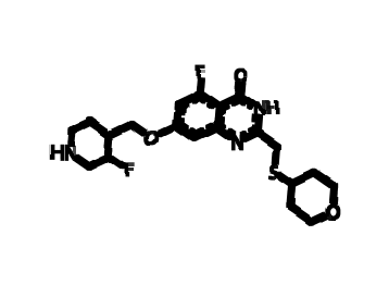 O=c1[nH]c(CSC2CCOCC2)nc2cc(OCC3CCNCC3F)cc(F)c12